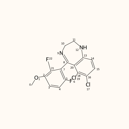 COc1ccc(F)c(C2=NCCNc3ccc(Cl)c(Cl)c32)c1F